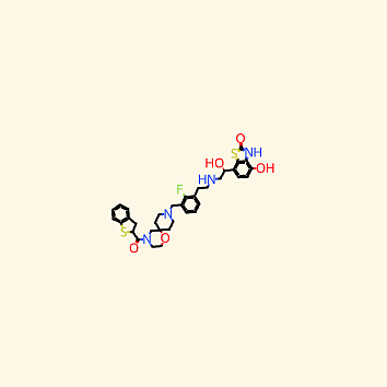 O=C(C1Cc2ccccc2S1)N1CCOC2(CCN(Cc3cccc(CCNC[C@H](O)c4ccc(O)c5[nH]c(=O)sc45)c3F)CC2)C1